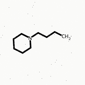 [CH2]CCCN1CCCCC1